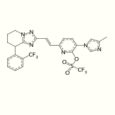 Cc1cn(-c2ccc(C=Cc3nc4n(n3)CCCC4c3ccccc3C(F)(F)F)nc2OS(=O)(=O)C(F)(F)F)cn1